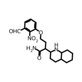 NC(=O)C(CCOc1cccc(C=O)c1[N+](=O)[O-])C1CCC2CCCCC2N1